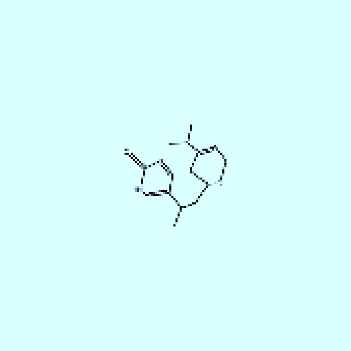 CC(C)C1=CCOC(CC(C)c2ccc(=O)[nH]c2)C1